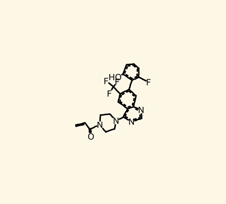 C=CC(=O)N1CCN(c2ncnc3cc(-c4c(O)cccc4F)c(C(F)(F)F)cc23)CC1